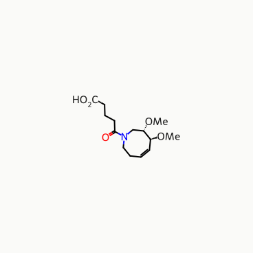 CO[C@H]1/C=C\CCN(C(=O)CCCC(=O)O)C[C@@H]1OC